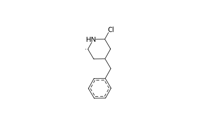 ClC1CC(Cc2ccccc2)C[CH]N1